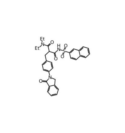 CCN(CC)C(=O)C(Cc1ccc(N2Cc3ccccc3C2=O)cc1)C(=O)NS(=O)(=O)c1ccc2ccccc2c1